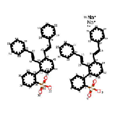 O=S(=O)([O-])c1ccccc1-c1cccc(C=Cc2ccccc2)c1C=Cc1ccccc1.O=S(=O)([O-])c1ccccc1-c1cccc(C=Cc2ccccc2)c1C=Cc1ccccc1.[Na+].[Na+]